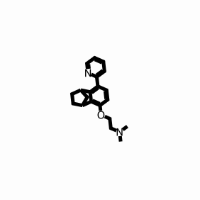 CN(C)CCOc1ccc(-c2ccccn2)c2c1C1CCC2C1